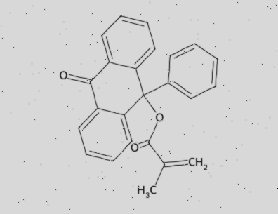 C=C(C)C(=O)OC1(c2ccccc2)c2ccccc2C(=O)c2ccccc21